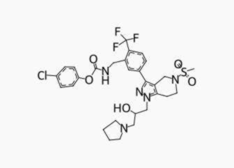 CS(=O)(=O)N1CCc2c(c(-c3ccc(C(F)(F)F)c(CNC(=O)Oc4ccc(Cl)cc4)c3)nn2CC(O)CN2CCCC2)C1